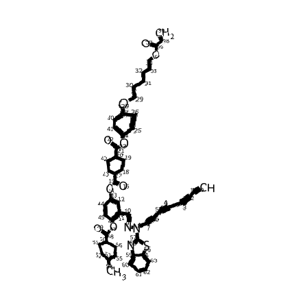 C#CC#CC#CC#CN(/N=C/c1cc(OC(=O)C2CCC(C(=O)Oc3ccc(OCCCCCCOC(=O)C=C)cc3)CC2)ccc1OC(=O)C1CCC(C)CC1)c1nc2ccccc2s1